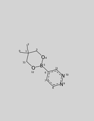 CC1(C)COB(c2ccnnc2)OC1